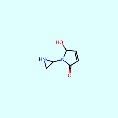 O=C1C=CC(O)N1C1CN1